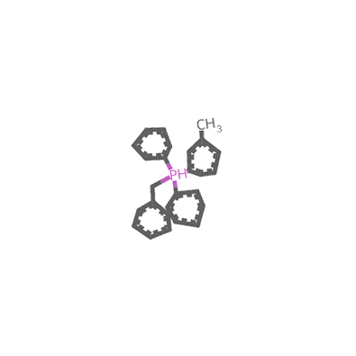 Cc1cccc([PH](Cc2ccccc2)(c2ccccc2)c2ccccc2)c1